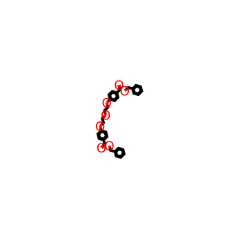 O=C(OCc1ccccc1)c1ccc(OCCOCCOc2ccc(C(=O)OCc3ccccc3)cc2)cc1